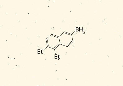 Bc1ccc2c(CC)c(CC)ccc2c1